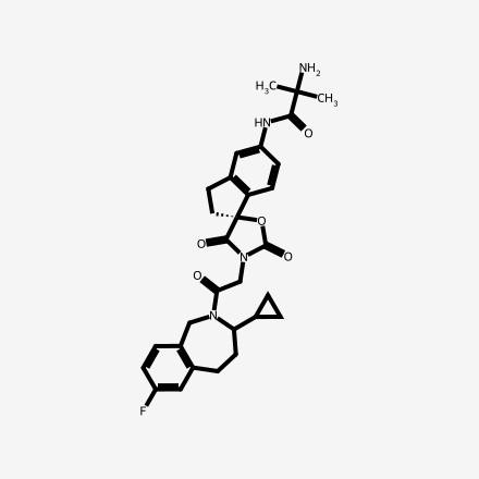 CC(C)(N)C(=O)Nc1ccc2c(c1)CC[C@@]21OC(=O)N(CC(=O)N2Cc3ccc(F)cc3CCC2C2CC2)C1=O